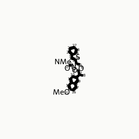 CNC(=O)N(OC(=O)C(C)c1ccc2cc(OC)ccc2c1)C(C)c1cc2ccccc2s1